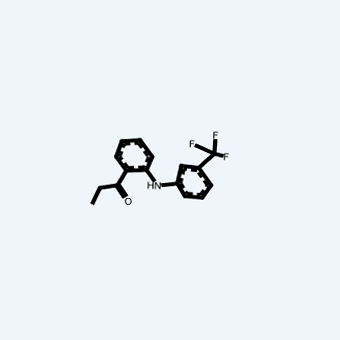 CCC(=O)c1ccccc1Nc1cccc(C(F)(F)F)c1